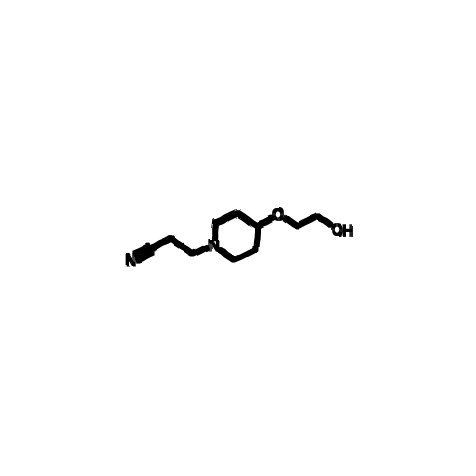 N#CCCN1CCC(OCCO)CC1